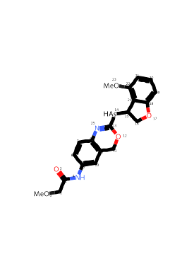 COCC(=O)Nc1ccc2c(c1)COC([AsH]C1COc3cccc(OC)c31)=N2